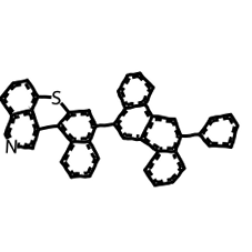 c1ccc(-c2cc3c4ccccc4c(-c4cc5c(c6ccccc46)-c4cncc6cccc(c46)S5)cc3c3ccccc23)cc1